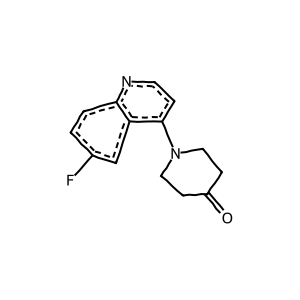 O=C1CCN(c2ccnc3ccc(F)cc23)CC1